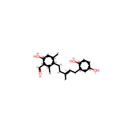 C/C(=C\Cc1cc(O)ccc1O)CCc1c(C)cc(O)c(C=O)c1C